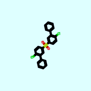 O=S(=O)(c1ccc(Cl)c(-c2ccccc2)c1)c1ccc(Cl)c(-c2ccccc2)c1